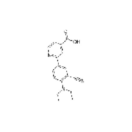 CCN(CC)c1ccc(-c2cc(C(=O)O)ccn2)cc1C#N